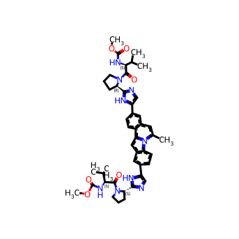 COC(=O)N[C@H](C(=O)N1CCC[C@@H]1c1ncc(-c2ccc3c(c2)cc(C)n2c4ccc(-c5cnc([C@@H]6CCCN6C(=O)[C@@H](NC(=O)OC)C(C)C)[nH]5)cc4cc32)[nH]1)C(C)C